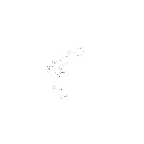 C=CC(=O)N1CCCC1Cn1c(=O)n(-c2ccc(Oc3ccccc3)cc2)c2c(N)nccc21